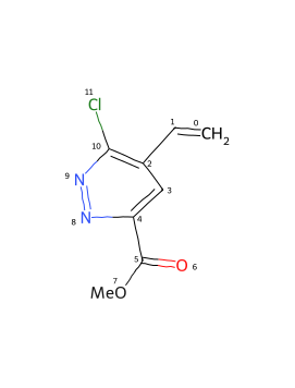 C=Cc1cc(C(=O)OC)nnc1Cl